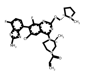 C=CC(=O)N1CCN(c2nc(OC[C@@H]3CCCN3C)nc3c(F)c(-c4ccc(F)c5sc(N)nc45)c(Cl)cc23)[C@@H](C)C1